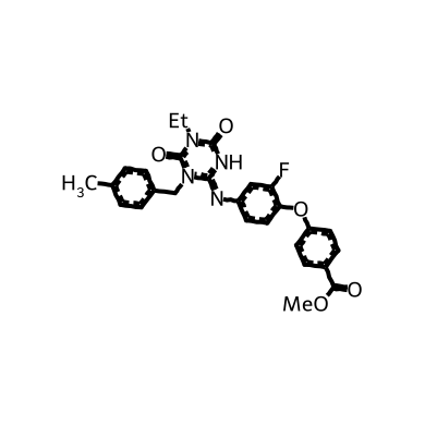 CCn1c(=O)[nH]/c(=N\c2ccc(Oc3ccc(C(=O)OC)cc3)c(F)c2)n(Cc2ccc(C)cc2)c1=O